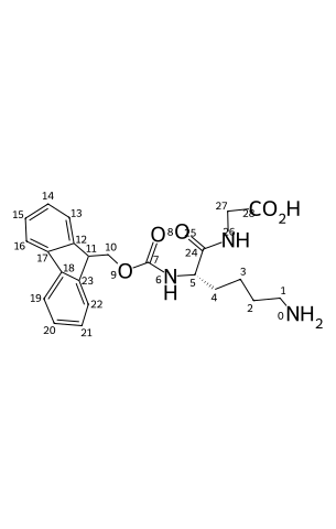 NCCCC[C@H](NC(=O)OCC1c2ccccc2-c2ccccc21)C(=O)NCC(=O)O